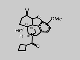 COc1ccc2c3c1OC1C(=O)CC[C@]4(O)[C@H](C2)N(C(=O)C2CCC2)CC[C@@]314